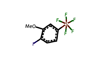 COc1cc(S(F)(F)(F)(F)F)ccc1I